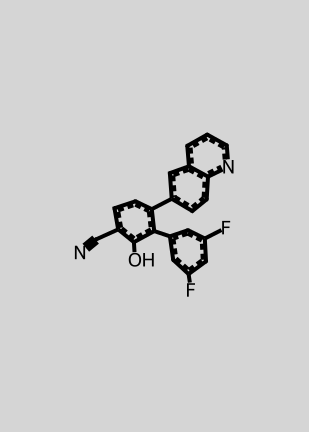 N#Cc1ccc(-c2ccc3ncccc3c2)c(-c2cc(F)cc(F)c2)c1O